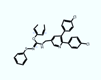 C/C=C\C(=C/C)O/C(=N\Sc1ccccc1)NCc1cnc(-c2ccc(Cl)cc2)c(-c2ccc(Cl)cc2)c1